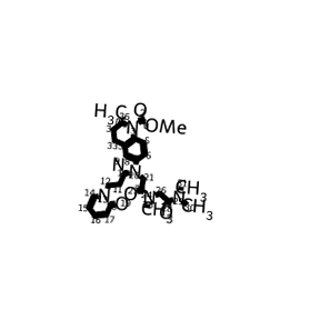 COC(=O)N1c2ccc3c(nc(CCn4ccccc4=O)n3CC(=O)N(C)CC(=O)N(C)C)c2CC[C@@H]1C